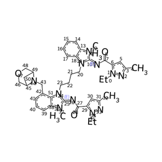 CCn1nc(C)cc1C(=O)/N=c1\n(C)c2ccccc2n1CCCCn1/c(=N/C(=O)c2cc(C)nn2CC)n(C)c2cccc(CN3C4COCC3C4)c21